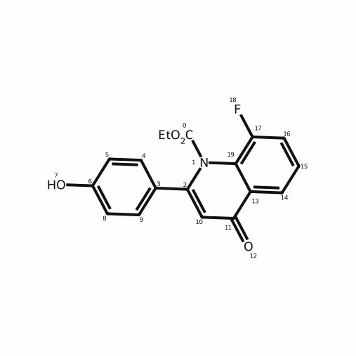 CCOC(=O)n1c(-c2ccc(O)cc2)cc(=O)c2cccc(F)c21